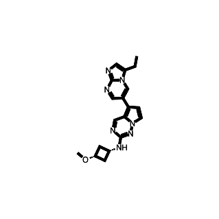 CCc1cnc2ncc(-c3ccn4nc(N[C@H]5C[C@@H](OC)C5)ncc34)cn12